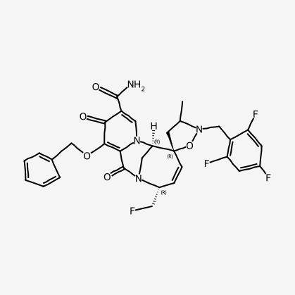 CC1C[C@]2(C=C[C@H](CF)N3C[C@H]2n2cc(C(N)=O)c(=O)c(OCc4ccccc4)c2C3=O)ON1Cc1c(F)cc(F)cc1F